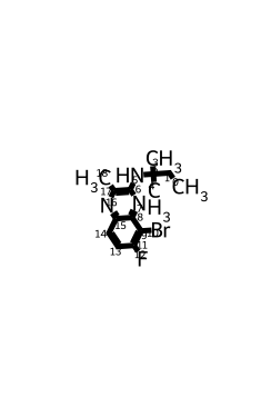 CCC(C)(C)Nc1nc2c(Br)c(F)ccc2nc1C